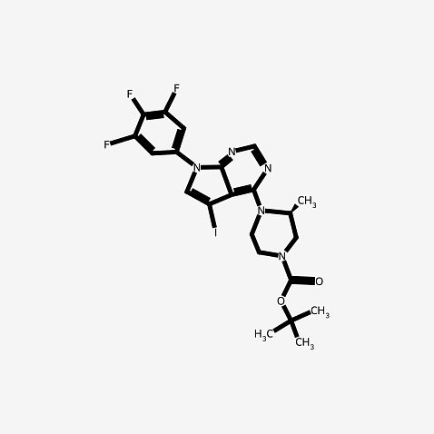 C[C@H]1CN(C(=O)OC(C)(C)C)CCN1c1ncnc2c1c(I)cn2-c1cc(F)c(F)c(F)c1